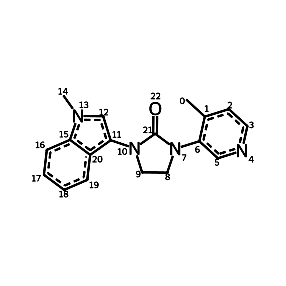 Cc1ccncc1N1CCN(c2cn(C)c3ccccc23)C1=O